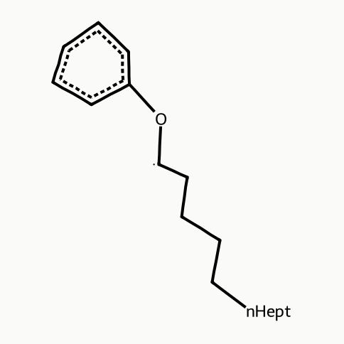 CCCCCCCCCCC[CH]Oc1ccccc1